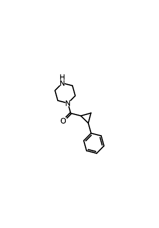 O=C(C1CC1c1ccccc1)N1CCNCC1